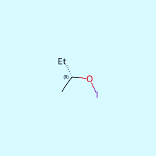 CC[C@@H](C)OI